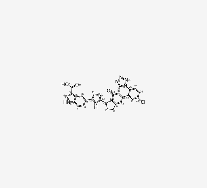 O=C(O)c1n[nH]c2ccc(-c3cnc([C@@H]4CCc5cc(-c6cc(Cl)ccc6-n6cnnn6)cc(=O)n54)[nH]3)cc12